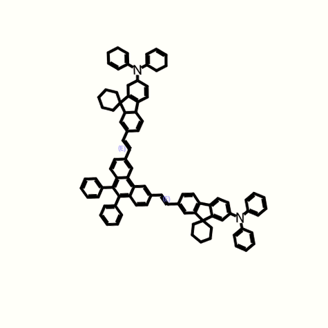 C1=CCCC(N(C2=CCCC=C2)C2C=CC3=C(C2)C2(CCCCC2)C2C=C(/C=C/c4ccc5c(-c6ccccc6)c(-c6ccccc6)c6ccc(/C=C/c7ccc8c(c7)C7(CCCCC7)c7cc(N(c9ccccc9)c9ccccc9)ccc7-8)cc6c5c4)C=CC32)=C1